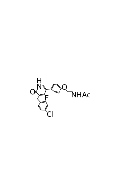 CC(=O)NCCOc1ccc(-c2c[nH]c(=O)c(Cc3ccc(Cl)cc3F)c2)cc1